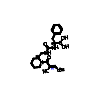 CC(C)(C)/C=C(\C#N)C(=O)N1CCCC[C@H]1CNC(=O)N[C@@H](Cc1ccccc1)B(O)O